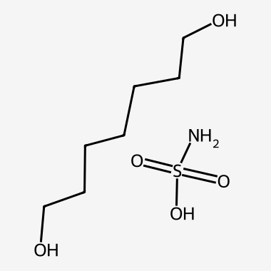 NS(=O)(=O)O.OCCCCCCCO